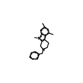 Cc1cc(C)c2c3c(n(C)c2c1)CN(Cc1ccccc1)CC3